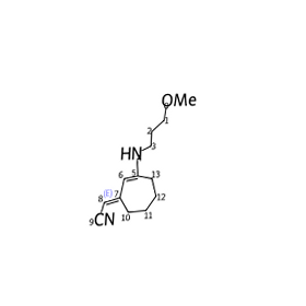 COCCCNC1=C/C(=C/C#N)CCCC1